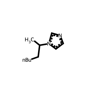 CCCCCC(C)n1ccnc1